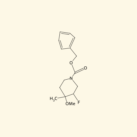 COC1(C)CCN(C(=O)OCc2ccccc2)CC1F